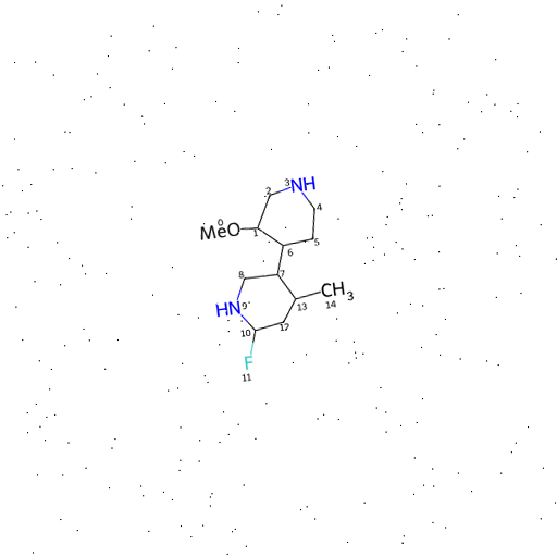 COC1CNCCC1C1CNC(F)CC1C